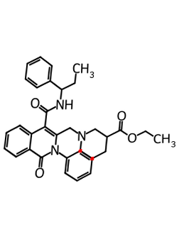 CCOC(=O)C1CCCN(Cc2c(C(=O)NC(CC)c3ccccc3)c3ccccc3c(=O)n2-c2ccccc2)C1